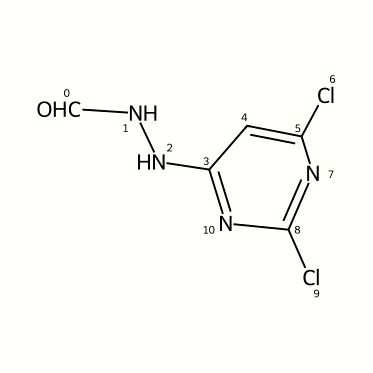 O=CNNc1cc(Cl)nc(Cl)n1